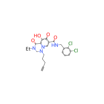 C#CCCCN1CN(CC)C(=O)c2c(O)c(=O)c(C(=O)NCc3cccc(Cl)c3Cl)cn21